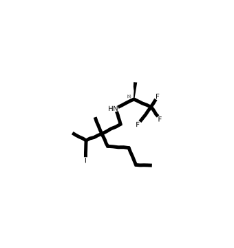 CCCCC(C)(CN[C@@H](C)C(F)(F)F)C(C)I